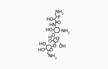 NC[C@@H](F)[C@H](O)C(=O)N[C@@H]1C[C@H](N)C[C@H](O[C@@H]2O[C@H](CO)[C@@H](O[C@@H]3C[C@@H](O)[C@H](O)[C@H](CN)O3)[C@H]2O)[C@H]1O